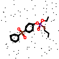 CCCSP(=O)(OCC)Oc1ccc(S(=O)(=O)c2ccccc2)cc1